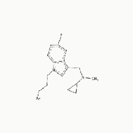 CC(=O)CCCn1cc(CN(C)C2CC2)c2cc(F)ccc21